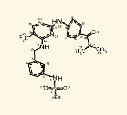 CCS(=O)(=O)Nc1cccc(CNc2nc(Nc3ccc(C(=O)N(C)C)cc3)ncc2C(F)(F)F)c1